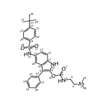 C[As](C)CCNC(=O)Oc1[nH]c2ccc(NS(=O)(=O)c3ccc(C(C)(C)C)cc3)cc2c1-c1ccccc1